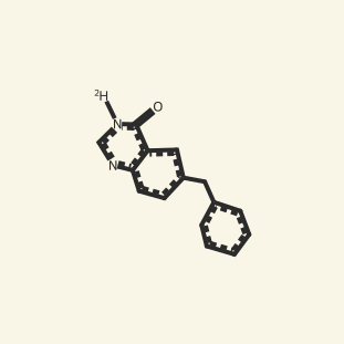 [2H]n1cnc2ccc(Cc3ccccc3)cc2c1=O